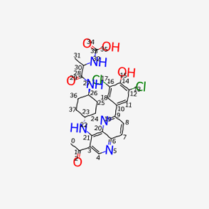 CC(=O)c1cnc2ccc(-c3cc(Cl)c(O)c(Cl)c3)nc2c1N[C@H]1CC[C@H](NC(=O)C(C)NC(=O)O)CC1